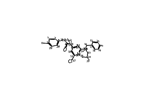 Cc1ccc(NC(=O)Nc2cc(Cl)nc(N(Cc3ccccc3)CC(C)C)n2)cc1